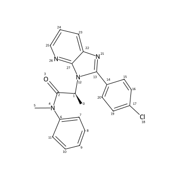 C[C@@H](C(=O)N(C)c1ccccc1)n1c(-c2ccc(Cl)cc2)nc2cccnc21